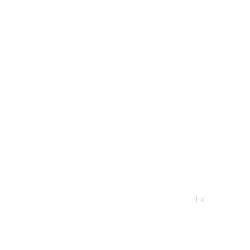 Brc1csc2cc(-c3cccc4ccccc34)ccc12